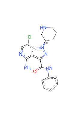 Nc1ncc(Cl)c2c1c(C(=O)Nc1ccccc1)nn2[C@@H]1CCCNC1